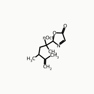 C=C(C)C(C)CC(C)(CCCCCCCC)C1N=CC(=O)O1